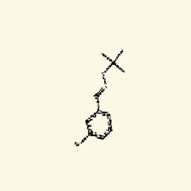 CC(C)(C)SN=Cc1cccc(Br)c1